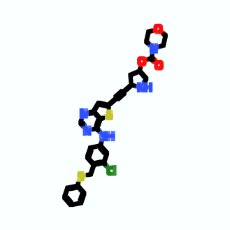 O=C(OC1CNC(C#Cc2cc3ncnc(Nc4ccc(CSc5ccccc5)c(Cl)c4)c3s2)C1)N1CCOCC1